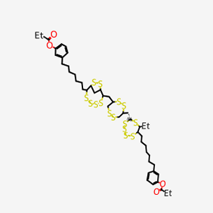 CCC(=O)Oc1cccc(CCCCCCCC2SSSSC(CC3CSSCC(C[C@H]4SSSSC(CCCCCCCc5cccc(OC(=O)CC)c5)C(CC)S4)SS3)C3CC2SS3)c1